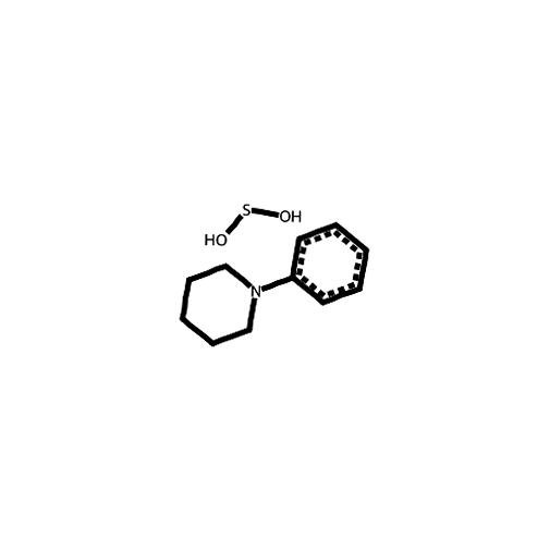 OSO.c1ccc(N2CCCCC2)cc1